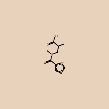 CC(CN(C)C(=O)c1cnc[nH]1)C(=O)O